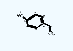 C=Cc1[c]cc(C#N)cc1